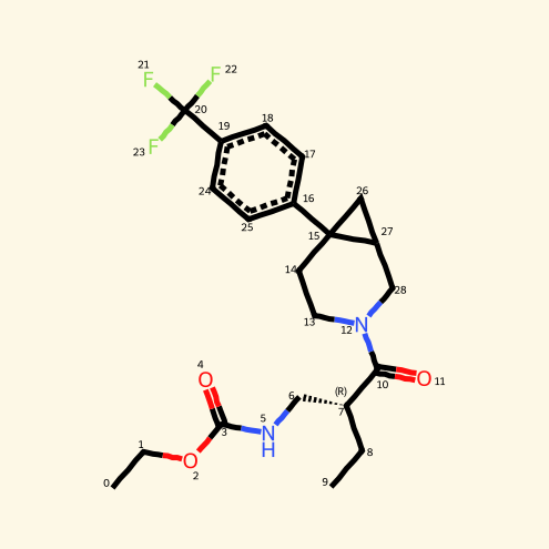 CCOC(=O)NC[C@@H](CC)C(=O)N1CCC2(c3ccc(C(F)(F)F)cc3)CC2C1